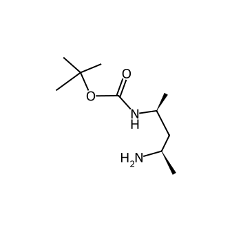 C[C@@H](N)C[C@H](C)NC(=O)OC(C)(C)C